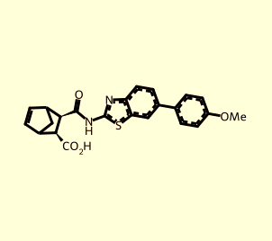 COc1ccc(-c2ccc3nc(NC(=O)[C@@H]4C5C=CC(C5)[C@@H]4C(=O)O)sc3c2)cc1